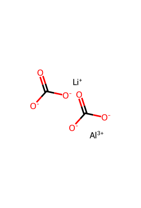 O=C([O-])[O-].O=C([O-])[O-].[Al+3].[Li+]